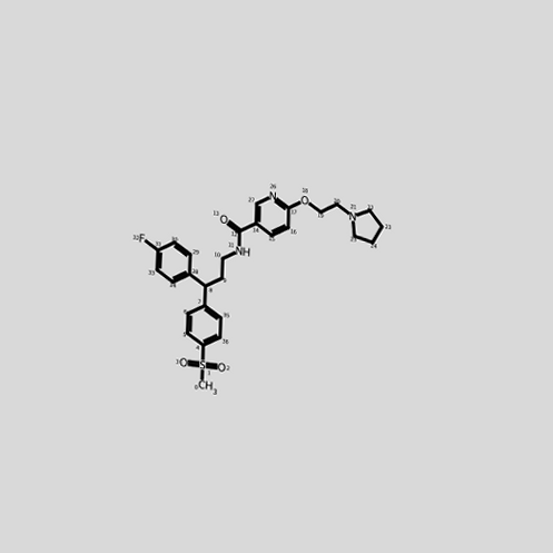 CS(=O)(=O)c1ccc(C(CCNC(=O)c2ccc(OCCN3CCCC3)nc2)c2ccc(F)cc2)cc1